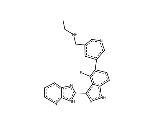 CCNCc1cncc(-c2ccc3[nH]nc(-c4nc5cccnc5[nH]4)c3c2F)c1